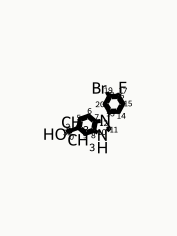 CC(C)(O)c1ccc2c(c1)NCN2c1ccc(F)c(Br)c1